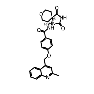 Cc1cc(COc2ccc(C(=O)N[C@H]3COCC[C@@]34NC(=O)NC4=O)cc2)c2ccccc2n1